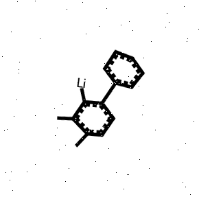 [Li][c]1c(-c2ccccc2)ccc(C)c1C